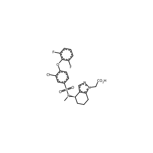 CN([C@@H]1CCCc2c1cnn2CC(=O)O)S(=O)(=O)c1ccc(Oc2c(F)cccc2F)c(Cl)c1